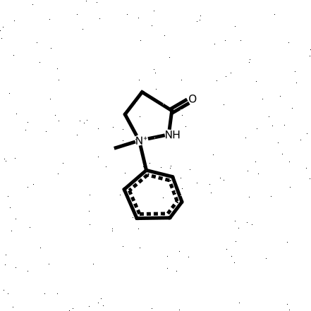 C[N+]1(c2ccccc2)CCC(=O)N1